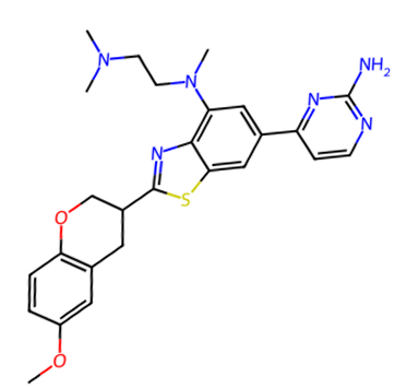 COc1ccc2c(c1)CC(c1nc3c(N(C)CCN(C)C)cc(-c4ccnc(N)n4)cc3s1)CO2